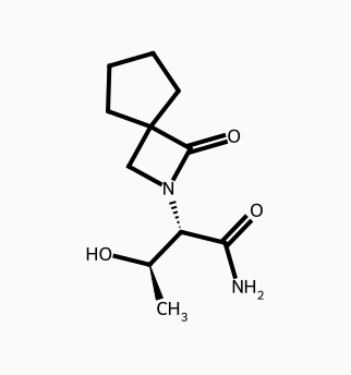 C[C@@H](O)[C@@H](C(N)=O)N1CC2(CCCC2)C1=O